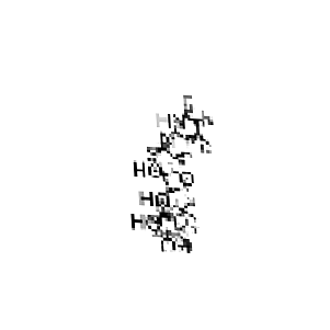 CCC(C)(C[C@H]1O[C@@H](c2cc3c(C)c(F)c(F)[nH]c-3nc2=S)[C@@H](O)C1O)OP(=O)(O)C(C)(O)CC